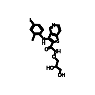 Cc1cc(I)ccc1Nc1c(C(=O)NOC[C@H](O)CO)sc2ccncc12